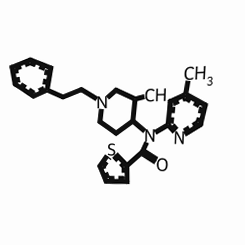 Cc1ccnc(N(C(=O)c2cccs2)C2CCN(CCc3ccccc3)CC2C)c1